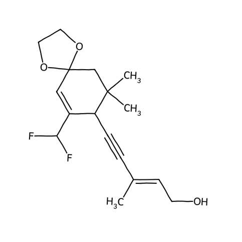 C/C(C#CC1C(C(F)F)=CC2(CC1(C)C)OCCO2)=C\CO